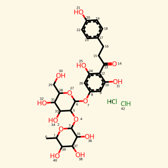 CC1OC(OC2C(Oc3cc(O)c(C(=O)CCc4ccc(O)cc4)c(O)c3)OC(CO)C(O)C2O)C(O)C(O)C1O.Cl.Cl